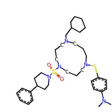 CN(C)c1ccc(SN2CCCN(CC3CCCCC3)CCCN(S(=O)(=O)N3CCC(c4ccccc4)CC3)CCC2)cc1